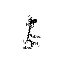 CCCCCCCCCCCCN(C)CCCN(C)CCCN(CCCCCCCCCCCC)CCCCCC(=O)Nc1nc2ccccc2c2c1ncn2CC(C)C